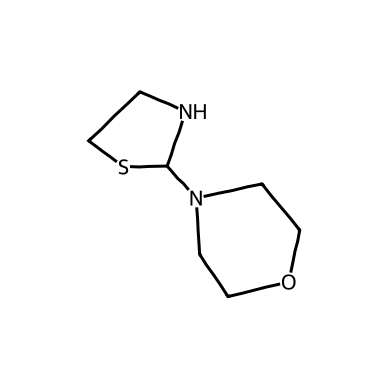 C1CSC(N2CCOCC2)N1